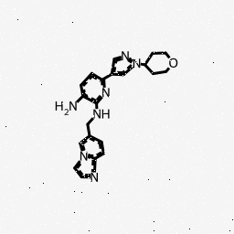 Nc1ccc(-c2cnn(C3CCOCC3)c2)nc1NCc1ccc2nccn2c1